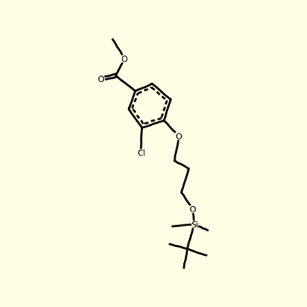 COC(=O)c1ccc(OCCCO[Si](C)(C)C(C)(C)C)c(Cl)c1